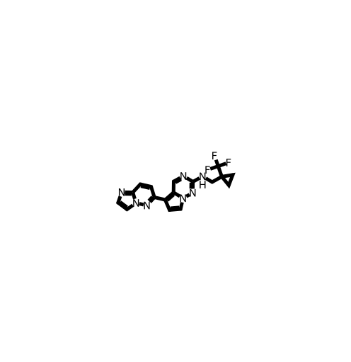 FC(F)(F)C1(CNc2ncc3c(-c4ccc5nccn5n4)ccn3n2)CC1